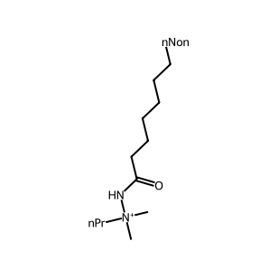 CCCCCCCCCCCCCCCC(=O)N[N+](C)(C)CCC